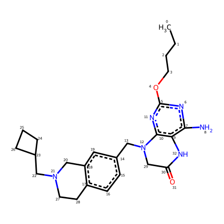 CCCCOc1nc(N)c2c(n1)N(Cc1ccc3c(c1)CN(CC1CCC1)CC3)CC(=O)N2